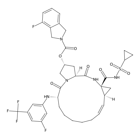 O=C1N[C@]2(C(=O)NS(=O)(=O)C3CC3)C[C@H]2/C=C\CCCCC[C@H](Nc2cc(F)cc(C(F)(F)F)c2)C(=O)N2C[C@H](OC(=O)N3Cc4cccc(F)c4C3)C[C@@H]12